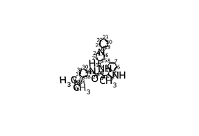 C[C@@H](c1c[nH]c2ccccc12)[C@@H](NCC1CCN(c2ccccc2)CC1)C(=O)Nc1cccc(CN(C)C)c1